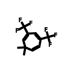 CC1(C)C=CC(C(F)(F)F)=CC(C(F)(F)F)=C1